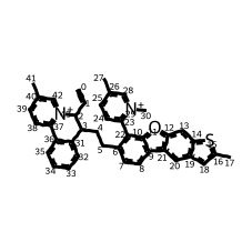 C=CC1C(CCc2ccc3c(oc4cc5sc(C)cc5cc43)c2-c2ccc(C)c[n+]2C)c2ccccc2-c2ccc(C)c[n+]21